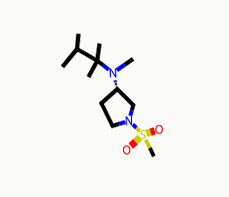 CC(C)C(C)(C)N(C)[C@H]1CCN(S(C)(=O)=O)C1